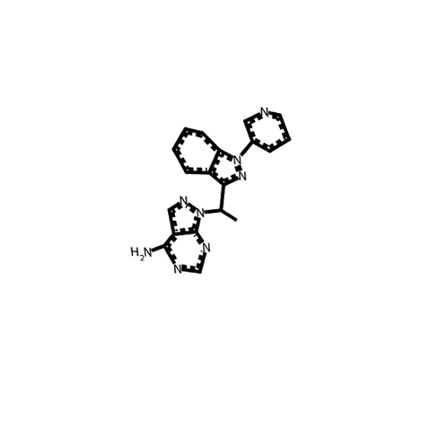 CC(c1nn(-c2cccnc2)c2ccccc12)n1ncc2c(N)ncnc21